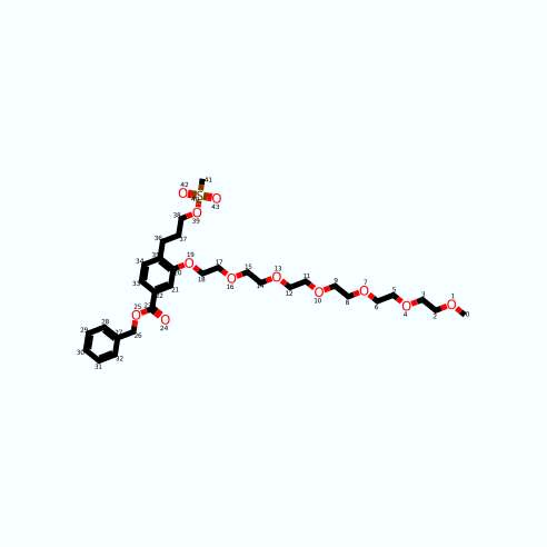 COCCOCCOCCOCCOCCOCCOc1cc(C(=O)OCc2ccccc2)ccc1CCCOS(C)(=O)=O